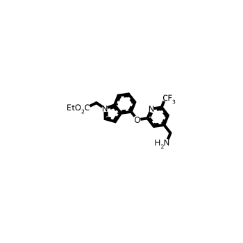 CCOC(=O)Cn1ccc2c(Oc3cc(CN)cc(C(F)(F)F)n3)cccc21